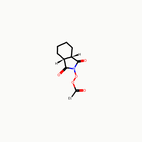 CCC(=O)OON1C(=O)[C@H]2CCCC[C@H]2C1=O